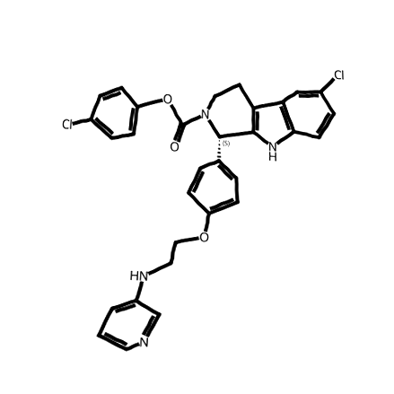 O=C(Oc1ccc(Cl)cc1)N1CCc2c([nH]c3ccc(Cl)cc23)[C@@H]1c1ccc(OCCNc2cccnc2)cc1